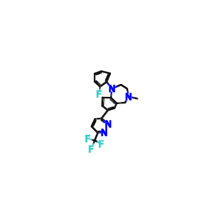 CN1CCN(c2ccccc2F)c2ccc(-c3ccc(C(F)(F)F)nn3)cc2C1